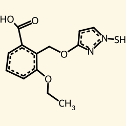 CCOc1cccc(C(=O)O)c1COc1ccn(S)n1